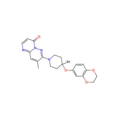 [2H]C1(Oc2ccc3c(c2)OCCO3)CCN(c2nn3c(=O)ccnc3cc2C)CC1